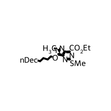 CCCCCCCCCCCCCCOc1c2nc(SC)nc(C(=O)OCC)c2nn1C